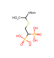 CCCCCCCCCC(SCC(P(=O)(O)O)P(=O)(O)O)C(=O)O